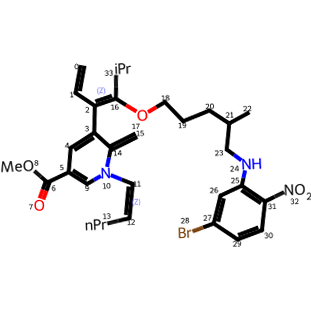 C=C/C(C1=CC(C(=O)OC)=CN(/C=C\CCC)C1=C)=C(/OCCCC(C)CNc1cc(Br)ccc1[N+](=O)[O-])C(C)C